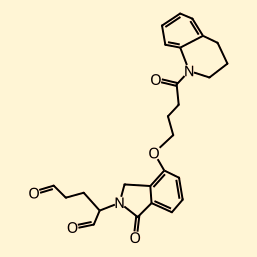 O=CCCC(C=O)N1Cc2c(OCCCC(=O)N3CCCc4ccccc43)cccc2C1=O